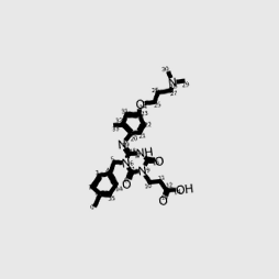 Cc1ccc(Cn2c(=O)n(CCC(=O)O)c(=O)[nH]/c2=N\c2ccc(OCCCN(C)C)cc2C)cc1